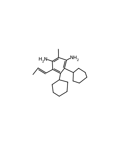 CC=Cc1c(N)c(C)c(N)c(C2CCCCC2)c1C1CCCCC1